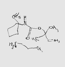 CC1(NC(=O)OC(C)(C)C)CCC1.CCCC